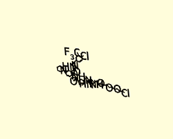 O=C(N/N=C/c1ccc(Cl)c(C(F)(F)F)c1)c1cc(N2CCCCC2)ccc1NC(=O)C1CCCC(CN2CC(CCOCCOCCOCCCl)NN2)C1